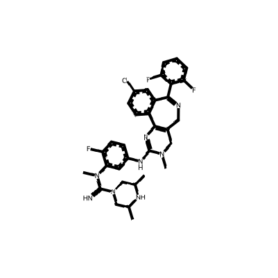 CC1CN(C(=N)N(C)c2cc(NC3=NC4=C(CN=C(c5c(F)cccc5F)c5cc(Cl)ccc54)CN3C)ccc2F)CC(C)N1